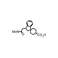 CNC(=O)CC1CC2(CCN(C(=O)O)CC2)c2ccccc21